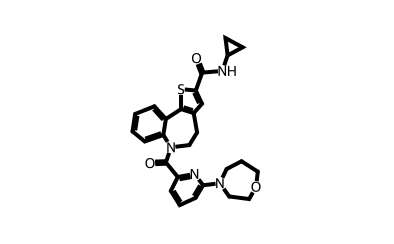 O=C(NC1CC1)c1cc2c(s1)-c1ccccc1N(C(=O)c1cccc(N3CCCOCC3)n1)CC2